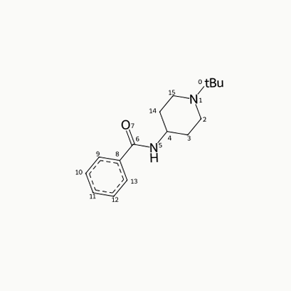 CC(C)(C)N1CCC(NC(=O)c2ccccc2)CC1